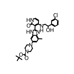 Cc1cc(N2CCN(C(=O)OC(C)(C)C)CC2)cc2[nH]c(-c3c(NCC(O)c4cccc(Cl)c4)cc[nH]c3=O)nc12